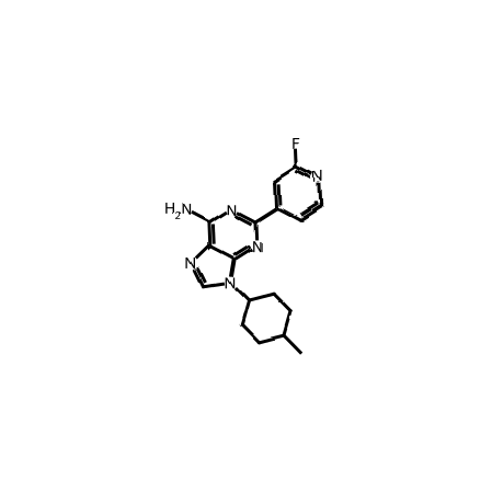 CC1CCC(n2cnc3c(N)nc(-c4ccnc(F)c4)nc32)CC1